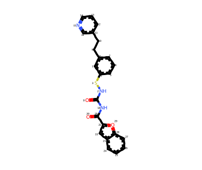 O=C(NSc1cccc(CCc2cccnc2)c1)NC(=O)c1cc2ccccc2o1